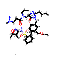 CCCCC1=N[C@@]2(CCCN(C(=O)CCNC)C2)C(=O)N1Cc1ccc(-c2ccccc2S(=O)(=O)Nc2noc(C)c2C)c(COCC)c1